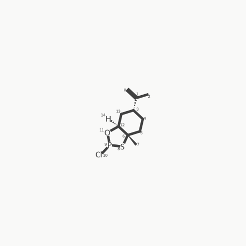 C=C(C)[C@@H]1CC[C@]2(C)SP(Cl)O[C@H]2C1